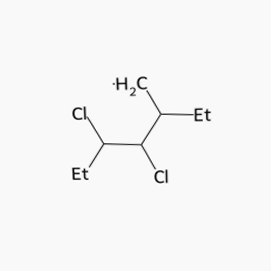 [CH2]C(CC)C(Cl)C(Cl)CC